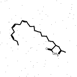 CC/C=C\C/C=C\C/C=C\CCCCCCCCC(CC(C)=S)C(=O)O